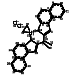 CCC1=Cc2c(ccc3ccccc23)[CH]1[Hf+2]1([CH]2C(CC)=Cc3c2ccc2ccccc32)[CH2][CH2]1.[Cl-].[Cl-]